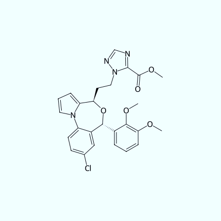 COC(=O)c1ncnn1CC[C@H]1O[C@H](c2cccc(OC)c2OC)c2cc(Cl)ccc2-n2cccc21